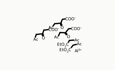 CC(=O)CC(=O)CC(=O)[O-].CC(=O)CC(=O)CC(=O)[O-].CC(=O)CC(=O)CC(=O)[O-].CCOC(=O)CC(C)=O.CCOC(=O)CC(C)=O.[Al+3]